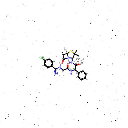 CC1(C)S[C@@H]2CC(=O)N2[C@@]1(NC(=O)C(NC(=O)CNC(=N)c1ccc(Cl)cc1)c1ccccc1)C(=O)O